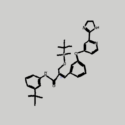 CC(C)(C)c1cccc(NC(=O)/C(=C/c2cccc(Oc3ccnc(C4=NCCN4)c3)c2)CO[Si](C)(C)C(C)(C)C)c1